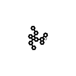 C1=CC2Oc3c(cc(-c4ccc5c(-c6cccc(-c7ccccc7)c6)c6ccccc6c(-c6cccc(-c7ccccc7)c6)c5c4)c4ccccc34)C2C=C1